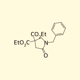 CCOC(=O)C1(C(=O)OCC)CC(=O)N(Cc2ccccc2)C1